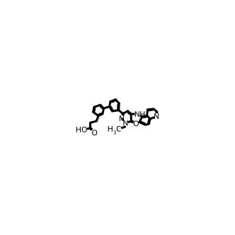 CCn1nc(-c2cccc(-c3cccc(CCC(=O)O)c3)c2)cc(Nc2cccc3ncccc23)c1=O